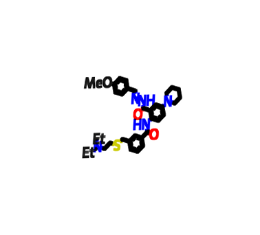 CCN(CC)CCSCc1cccc(C(=O)Nc2ccc(N3CCCCC3)cc2C(=O)NN=Cc2ccc(OC)cc2)c1